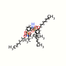 C[CH]CN(OCCCCCCCC)S(=O)(=O)c1cccc(NS(=O)(=O)c2cc(C(C)(C)CCCCC)ccc2OCCCCCCCC)c1